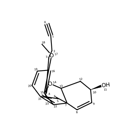 C#CCCC1CCC23C=C[C@H](O)CC2Oc2c(OC)ccc(c23)C1